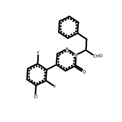 O=CC(Cc1ccccc1)n1ncc(-c2c(F)ccc(Cl)c2F)cc1=O